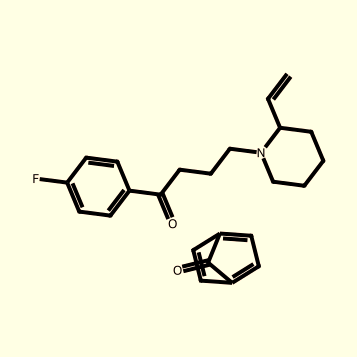 C=CC1CCCCN1CCCC(=O)c1ccc(F)cc1.O=C1C2=CC=C1C=C2